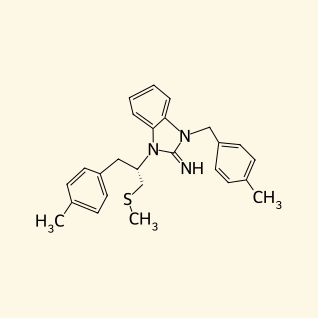 CSC[C@H](Cc1ccc(C)cc1)n1c(=N)n(Cc2ccc(C)cc2)c2ccccc21